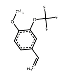 C=Cc1ccc(OC)c(OC(F)(F)F)c1